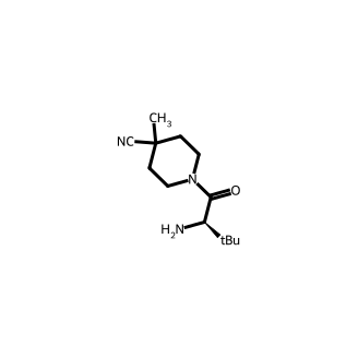 CC1(C#N)CCN(C(=O)[C@H](N)C(C)(C)C)CC1